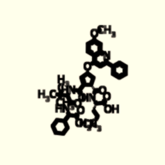 CCC[C@H](NC(=O)[C@H]1C[C@H](Oc2cc(-c3ccccc3)nc3cc(OC)ccc23)C=C1C(=O)N[C@@H](C(=O)NC(C(=O)OC)C1CCCCC1)C(C)(C)C)C(=O)O